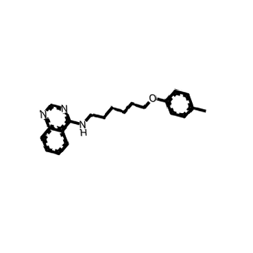 Cc1ccc(OCCCCCCNc2ncnc3ccccc23)cc1